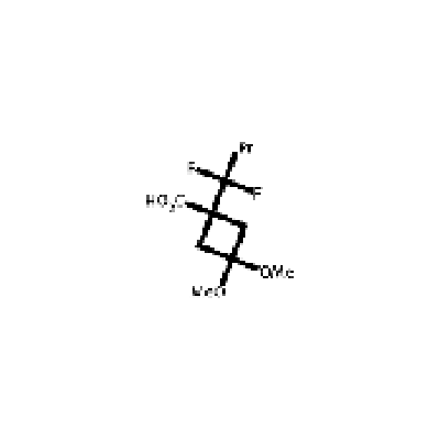 COC1(OC)CC(C(=O)O)(C(F)(F)C(C)C)C1